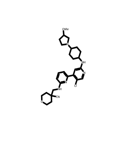 COC1CCN(C2CCC(Nc3cc(-c4cccc(NCC5(C#N)CCOCC5)n4)c(Cl)cn3)CC2)C1